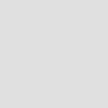 Ic1ccc(C(C2=CCCC=C2)(c2ccccc2)c2ccccc2)cc1